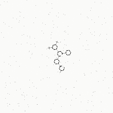 COc1ccccc1-c1cc(-c2cc(C(C)(C)C)cc(C(C)(C)C)c2)cc(-c2cccc(-c3cc(Cl)ccn3)c2)n1